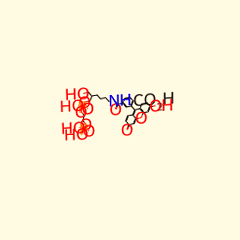 O=C(NCCCCC(CO)COP(=O)(O)OCCOP(=O)(O)O)c1ccc(C(=O)O)c(-c2c3ccc(=O)cc-3oc3cc(O)ccc23)c1